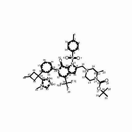 Cc1ccc(S(=O)(=O)n2c(CN3CCN(C(=O)OC(C)(C)C)[C@H](C)C3)cc3c(C(F)(F)F)cn(-c4cccc(C5(c6nncn6C)CC(C)C5)c4)c(=O)c32)cc1